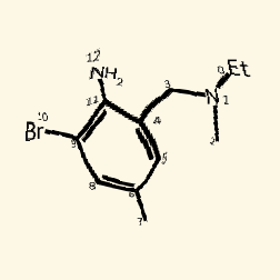 CCN(C)Cc1cc(C)cc(Br)c1N